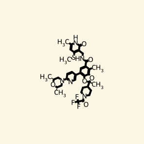 CSc1cc(C)[nH]c(=O)c1CNC(=O)c1cc(-c2ccc(N3C[C@@H](C)O[C@@H](C)C3)nc2)c2c(c1C)O[C@](C)(C1CCN(C(=O)C(F)(F)F)CC1)O2